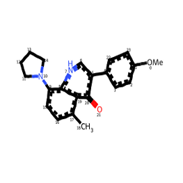 COc1ccc(-c2c[nH]c3c(N4CCCC4)ccc(C)c3c2=O)cc1